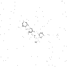 CCOc1cccc(C(CC(=O)O)NC(=O)Nc2c(O)ccn(Cc3c(Cl)cccc3OCC)c2=O)c1